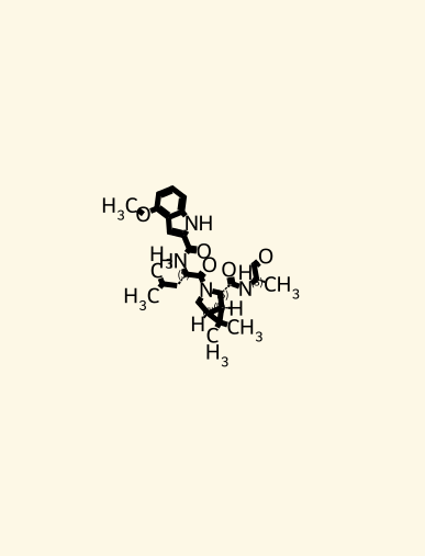 COc1cccc2[nH]c(C(=O)N[C@@H](CC(C)C)C(=O)N3C[C@H]4[C@@H]([C@H]3C(=O)N[C@@H](C)C=O)C4(C)C)cc12